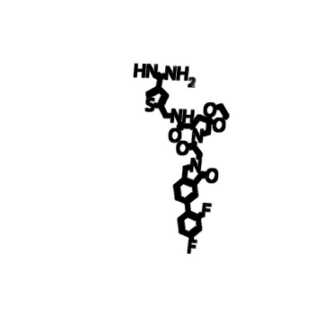 N=C(N)c1csc(CNC(=O)C2CC3(CN2C(=O)CN2Cc4ccc(-c5ccc(F)cc5F)cc4C2=O)OCCO3)c1